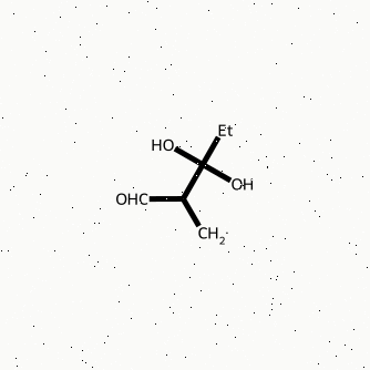 [CH2]C(C=O)C(O)(O)CC